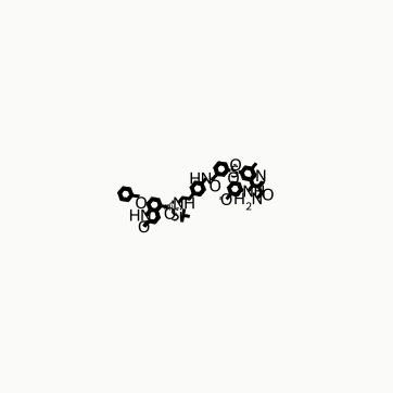 COc1cccc(Nc2c(C(N)=O)cnc3c(C)cc(S(=O)(=O)c4cccc(C(=O)Nc5ccc(CCNC[C@H](O[Si](C)(C)C(C)(C)C)c6ccc(OCc7ccccc7)c7[nH]c(=O)ccc67)cc5)c4)cc23)c1